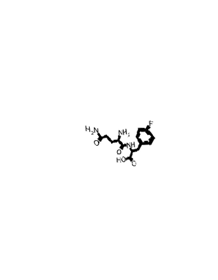 NC(=O)CCC(N)C(=O)NC(Cc1ccc(F)cc1)C(=O)O